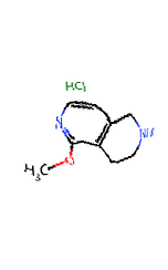 COc1nccc2c1CCNC2.Cl